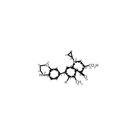 Cc1c(F)c(-c2ccc3c(c2)OCCN3)cc2c1c(=O)c(C(=O)O)cn2C1CC1